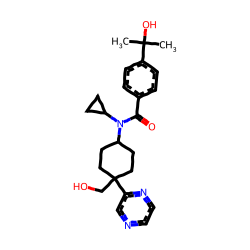 CC(C)(O)c1ccc(C(=O)N(C2CC2)C2CCC(CO)(c3cnccn3)CC2)cc1